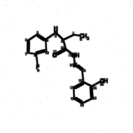 CCC(Nc1cccc(F)c1)C(=O)NN=Cc1ccccc1O